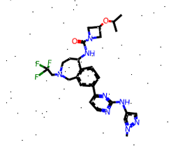 CC(C)OC1CN(C(=O)NC2CCN(CC(F)(F)F)Cc3cc(-c4ccnc(Nc5cnn(C)c5)n4)ccc32)C1